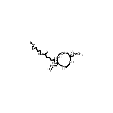 CNC[C@]1(C)CNCCNC[C@@](CNC)(NC(=O)CCCC(=O)NCCCN=[N+]=[N-])CNCCNC1